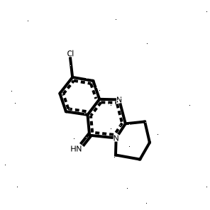 N=c1c2ccc(Cl)cc2nc2n1CCCC2